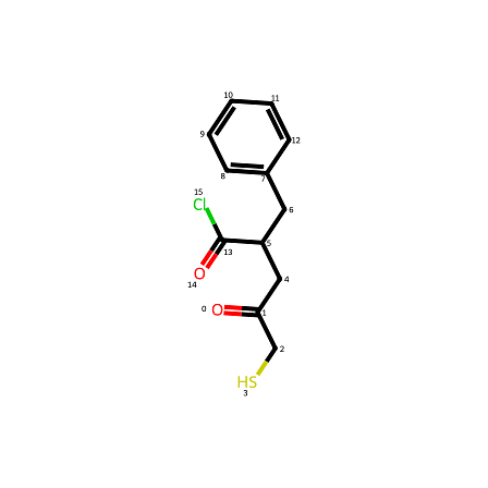 O=C(CS)CC(Cc1ccccc1)C(=O)Cl